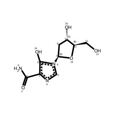 NC(=O)c1ncn([C@H]2C[C@H](O)[C@@H](CO)O2)c1O